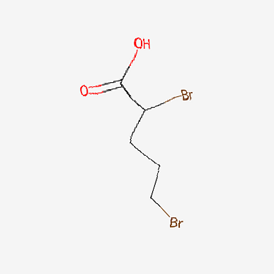 O=C(O)C(Br)CCCBr